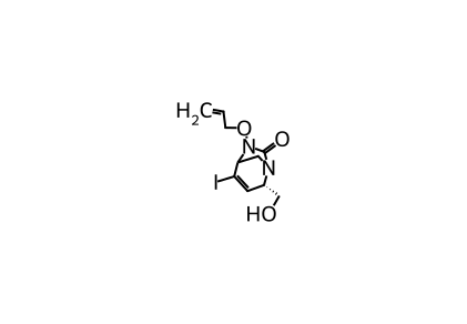 C=CCON1C(=O)N2CC1C(I)=C[C@H]2CO